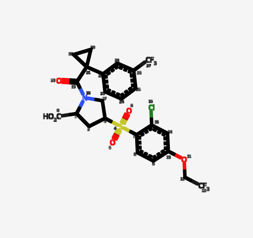 O=C(O)C1CC(S(=O)(=O)c2ccc(OCC(F)(F)F)cc2Cl)CN1C(=O)C1(c2cccc(C(F)(F)F)c2)CC1